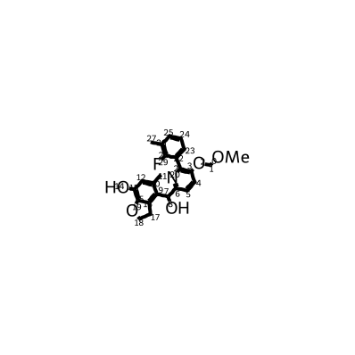 COCOc1ccc(C(O)c2c(C)cc(O)c3c2CCO3)nc1-c1cccc(C)c1F